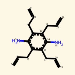 C=CCc1c(N)c(CC=C)c(CC=C)c(N)c1CC=C